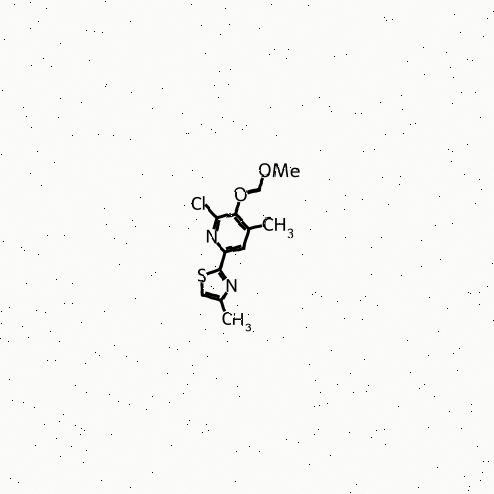 COCOc1c(C)cc(-c2nc(C)cs2)nc1Cl